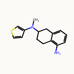 CN(c1ccsc1)C1CCc2c(N)cccc2C1